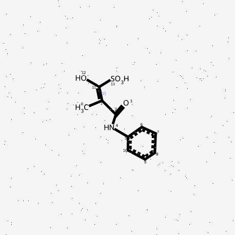 C/C(C(=O)Nc1ccccc1)=C(\O)S(=O)(=O)O